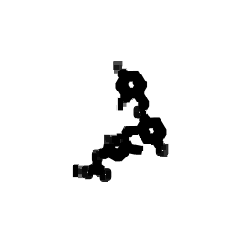 Cc1cc(OC(=O)O)nn1Cc1cc(Cl)ccc1OCc1ccc(F)cc1F